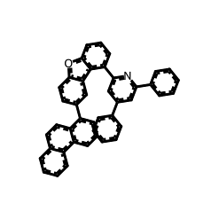 c1ccc(-c2cc(-c3ccccc3)nc(-c3cccc4oc5ccc(-c6cccc7c6ccc6ccccc67)cc5c34)c2)cc1